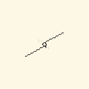 CCCCCCCCCCCCc1cc(Br)c(CCCCCCCCCCCC)cc1Br